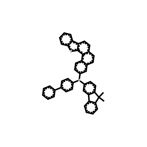 CC1(C)c2ccccc2-c2cc(N(c3ccc(-c4ccccc4)cc3)c3ccc4c(ccc5ccc6c7ccccc7sc6c54)c3)ccc21